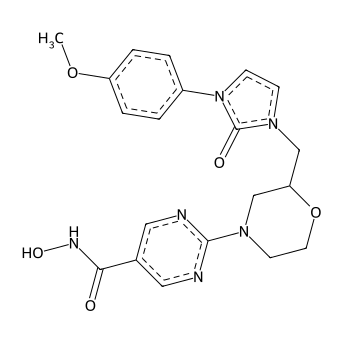 COc1ccc(-n2ccn(CC3CN(c4ncc(C(=O)NO)cn4)CCO3)c2=O)cc1